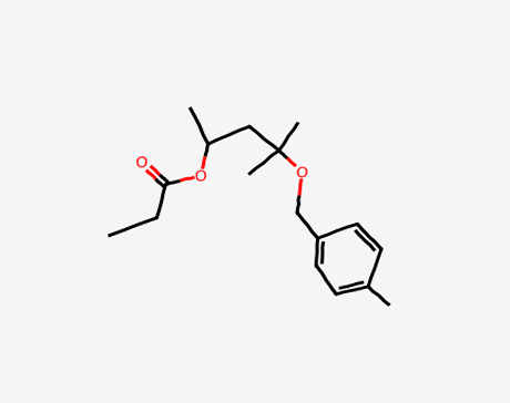 CCC(=O)OC(C)CC(C)(C)OCc1ccc(C)cc1